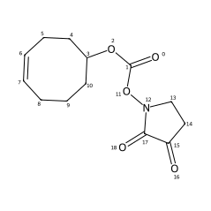 O=C(OC1CCC=CCCC1)ON1CCC(=O)C1=O